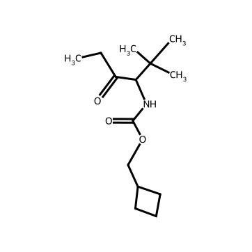 CCC(=O)C(NC(=O)OCC1CCC1)C(C)(C)C